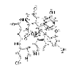 NC(=O)C(CCNc1nc(Cl)nc(Nc2ccc3c(c2)C(=O)OC32c3ccc(O)cc3Oc3cc(O)ccc32)n1)N1C(=O)CN=C(c2ccccc2)c2cc(Cl)ccc21